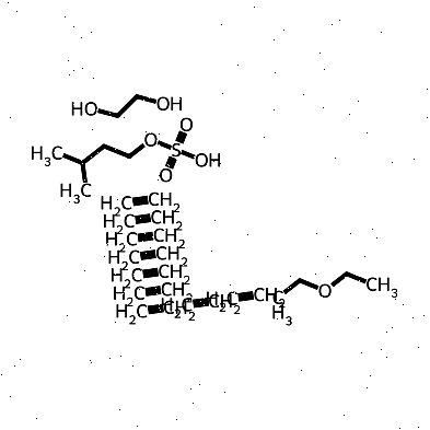 C=C.C=C.C=C.C=C.C=C.C=C.C=C.C=C.C=C.CC(C)CCOS(=O)(=O)O.CCOCC.OCCO